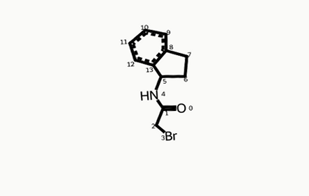 O=C(CBr)NC1CCc2ccccc21